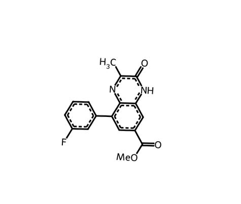 COC(=O)c1cc(-c2cccc(F)c2)c2nc(C)c(=O)[nH]c2c1